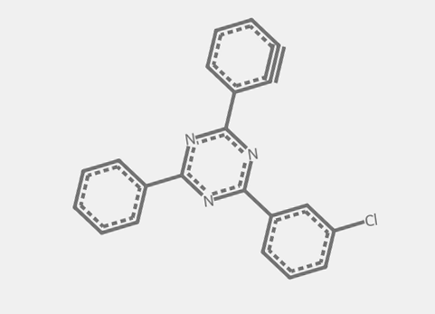 Clc1cccc(-c2nc(-c3c#cccc3)nc(-c3ccccc3)n2)c1